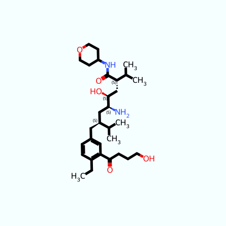 CCc1ccc(C[C@@H](C[C@H](N)[C@@H](O)C[C@H](C(=O)NC2CCOCC2)C(C)C)C(C)C)cc1C(=O)CCCO